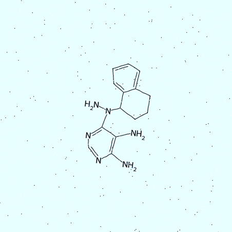 Nc1ncnc(N(N)C2CCCc3ccccc32)c1N